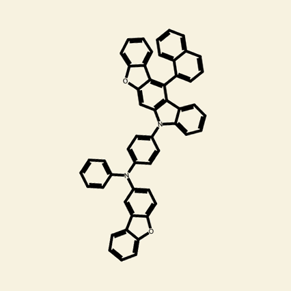 c1ccc(N(c2ccc(-n3c4ccccc4c4c(-c5cccc6ccccc56)c5c(cc43)oc3ccccc35)cc2)c2ccc3oc4ccccc4c3c2)cc1